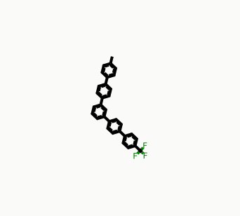 Cc1ccc(-c2ccc(-c3cccc(-c4ccc(-c5ccc(C(F)(F)F)cc5)cc4)c3)cc2)cc1